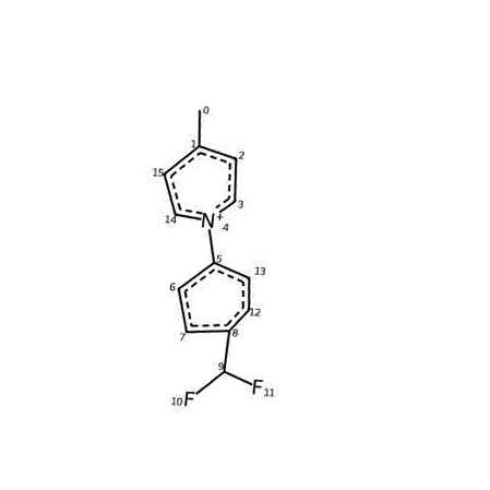 Cc1cc[n+](-c2ccc(C(F)F)cc2)cc1